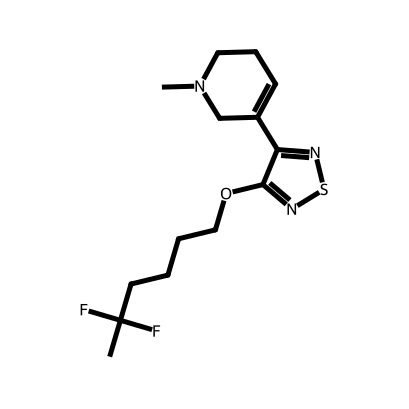 CN1CCC=C(c2nsnc2OCCCCC(C)(F)F)C1